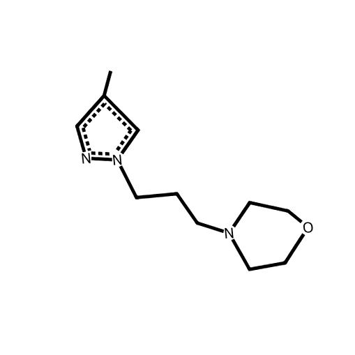 Cc1cnn(CCCN2CCOCC2)c1